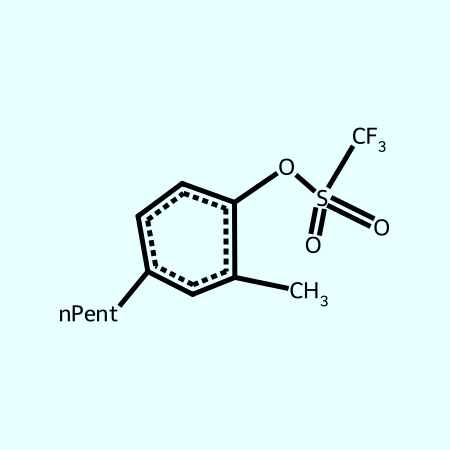 CCCCCc1ccc(OS(=O)(=O)C(F)(F)F)c(C)c1